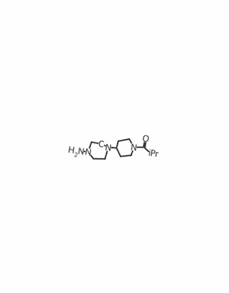 CC(C)C(=O)N1CCC(N2CCN(N)CC2)CC1